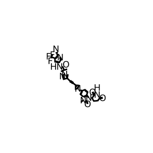 Cn1c(=O)n(C2CCC(=O)NC2=O)c2ccc(N3CC(C#Cc4cnn(C(C)(C)C(=O)Nc5cnc(C#N)c(C(F)(F)F)c5)c4)C3)cc21